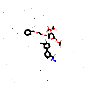 CNC(=O)c1cccc(-c2ccc(O[C@H]3O[C@H](COC(C)=O)C[C@H](OC(C)=O)[C@]3(COCCOCc3ccccc3)OC(C)=O)c(C)c2)c1